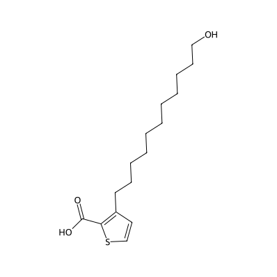 O=C(O)c1sccc1CCCCCCCCCCCO